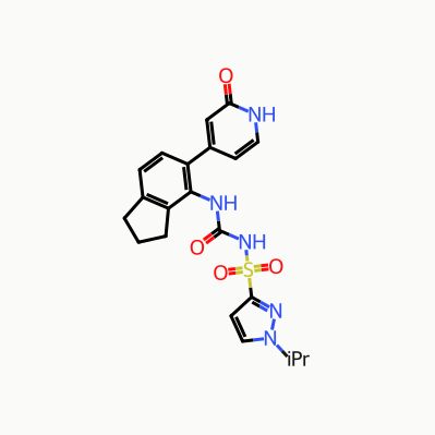 CC(C)n1ccc(S(=O)(=O)NC(=O)Nc2c(-c3cc[nH]c(=O)c3)ccc3c2CCC3)n1